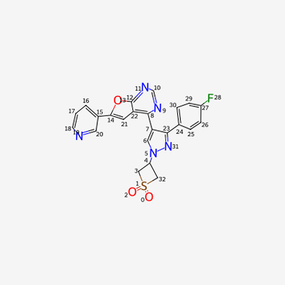 O=S1(=O)CC(n2cc(-c3ncnc4oc(-c5cccnc5)cc34)c(-c3ccc(F)cc3)n2)C1